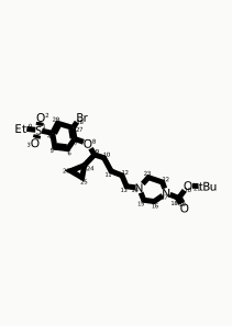 CCS(=O)(=O)c1ccc(OC(CCCCN2CCN(C(=O)OC(C)(C)C)CC2)C2CC2)c(Br)c1